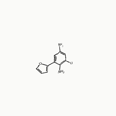 Nc1cc(Cl)c(N)c(-c2ccco2)c1